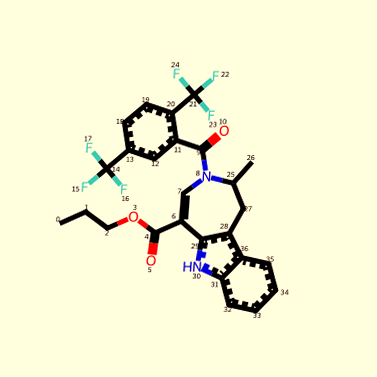 CCCOC(=O)C1=CN(C(=O)c2cc(C(F)(F)F)ccc2C(F)(F)F)C(C)Cc2c1[nH]c1ccccc21